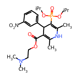 CC1=C(C(=O)OCCN(C)C)C(c2cccc([N+](=O)[O-])c2)C(P(=O)(OC(C)C)OC(C)C)=C(C)N1